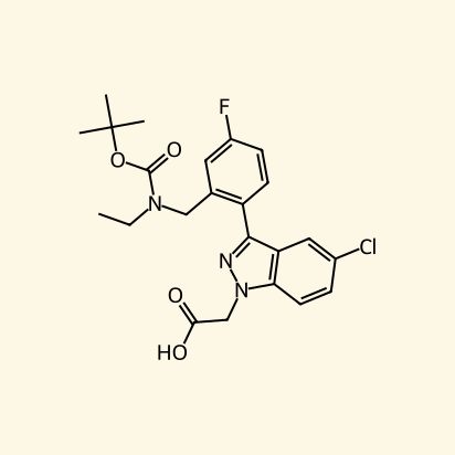 CCN(Cc1cc(F)ccc1-c1nn(CC(=O)O)c2ccc(Cl)cc12)C(=O)OC(C)(C)C